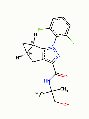 CC(C)(CO)NC(=O)c1nn(-c2c(F)cccc2F)c2c1C[C@H]1C[C@@H]21